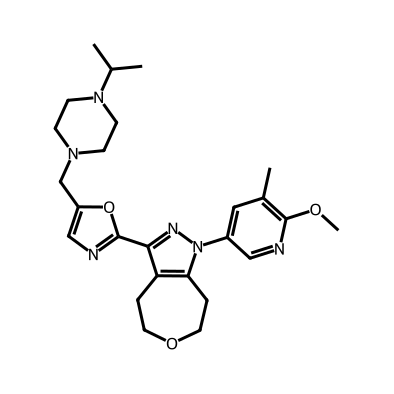 COc1ncc(-n2nc(-c3ncc(CN4CCN(C(C)C)CC4)o3)c3c2CCOCC3)cc1C